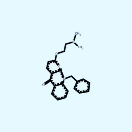 CN(C)CCOc1ccc2c(=O)c3ccccc3n(Cc3ccccc3)c2c1